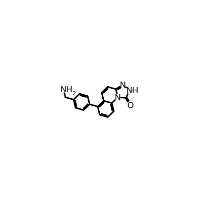 NCc1ccc(-c2cccc3c2ccc2n[nH]c(=O)n23)cc1